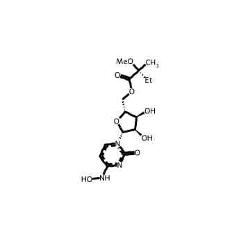 CC[C@@](C)(OC)C(=O)OC[C@H]1O[C@@H](n2ccc(NO)nc2=O)[C@H](O)[C@@H]1O